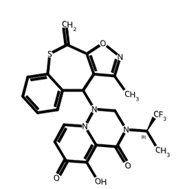 C=C1Sc2ccccc2C(N2CN([C@H](C)C(F)(F)F)C(=O)c3c(O)c(=O)ccn32)c2c(C)noc21